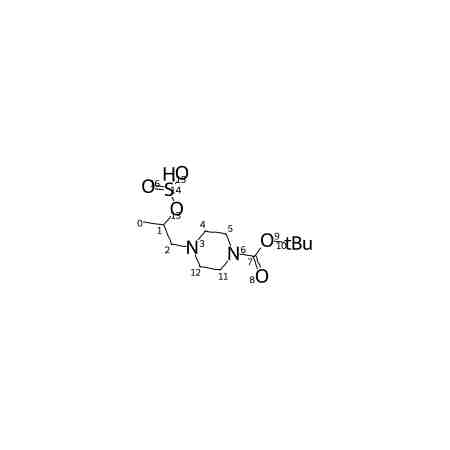 CC(CN1CCN(C(=O)OC(C)(C)C)CC1)O[SH](=O)=O